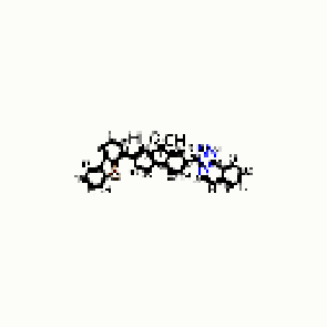 CC1(C)c2cc(-c3cccc4c3sc3ccccc34)ccc2-c2ccc(-c3nnc4c5ccccc5ccn34)cc21